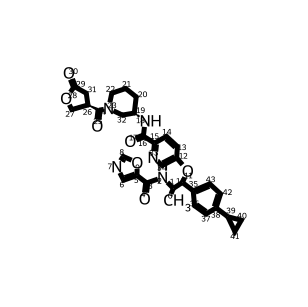 CC(NC(=O)c1cnco1)C(Oc1ccc(C(=O)N[C@H]2CCCN(C(=O)[C@H]3COC(=O)C3)C2)nc1)c1ccc(C2CC2)cc1